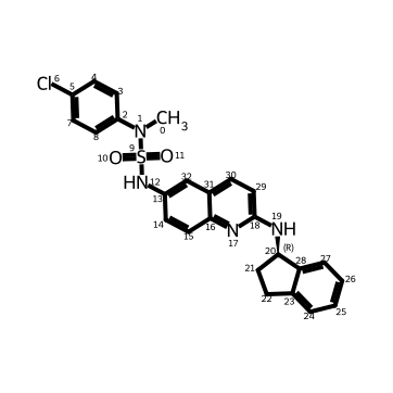 CN(c1ccc(Cl)cc1)S(=O)(=O)Nc1ccc2nc(N[C@@H]3CCc4ccccc43)ccc2c1